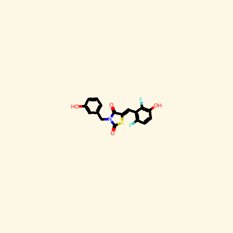 O=C1S/C(=C\c2c(F)ccc(O)c2F)C(=O)N1Cc1cccc(O)c1